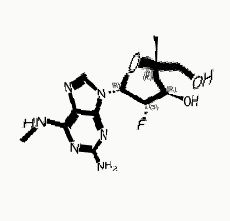 CNc1nc(N)nc2c1ncn2[C@@H]1O[C@](C)(CO)[C@@H](O)[C@@H]1F